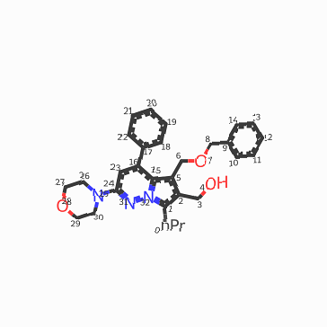 CCCc1c(CO)c(COCc2ccccc2)c2c(-c3ccccc3)cc(N3CCOCC3)nn12